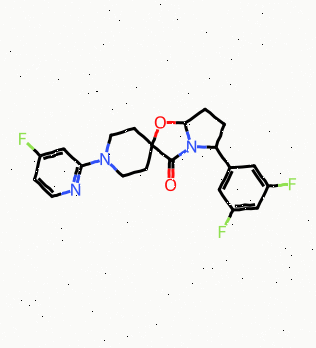 O=C1N2C(CCC2c2cc(F)cc(F)c2)OC12CCN(c1cc(F)ccn1)CC2